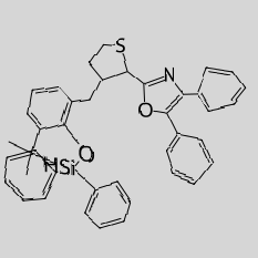 CC(C)(C)c1cccc(CC2CCSC2c2nc(-c3ccccc3)c(-c3ccccc3)o2)c1O[SiH](c1ccccc1)c1ccccc1